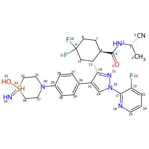 C[C@@H](C#N)NC(=O)[C@@H]1CCC(F)(F)C[C@H]1c1nn(-c2ncccc2F)cc1-c1ccc(N2CC[SH](=N)(O)CC2)cc1